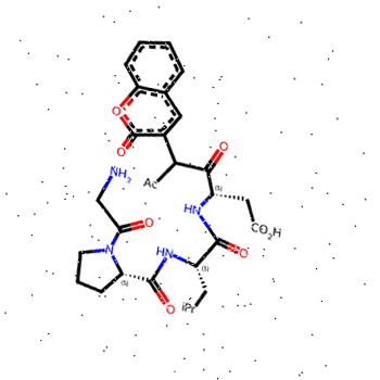 CC(=O)C(C(=O)[C@H](CC(=O)O)NC(=O)[C@H](CC(C)C)NC(=O)[C@@H]1CCCN1C(=O)CN)c1cc2ccccc2oc1=O